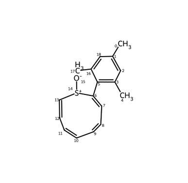 Cc1cc(C)c(-c2ccccccc[s+]2[O-])c(C)c1